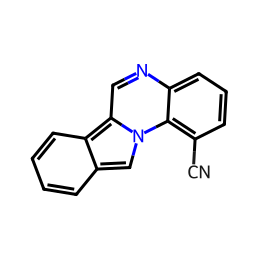 N#Cc1cccc2ncc3c4ccccc4cn3c12